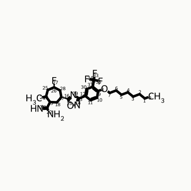 CCCCCCCCOc1ccc(-c2noc([C@H]3CC(C(=N)N)C(C)C[C@@H](F)C3)n2)cc1C(F)(F)F